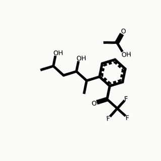 CC(=O)O.CC(O)CC(O)C(C)c1ccccc1C(=O)C(F)(F)F